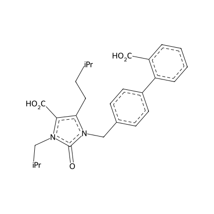 CC(C)CCc1c(C(=O)O)n(CC(C)C)c(=O)n1Cc1ccc(-c2ccccc2C(=O)O)cc1